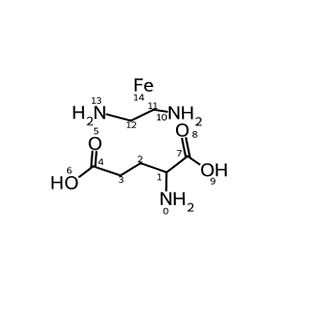 NC(CCC(=O)O)C(=O)O.NCCN.[Fe]